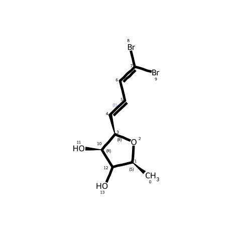 C[C@@H]1O[C@H](/C=C/C=C(Br)Br)[C@H](O)C1O